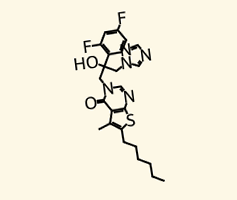 CCCCCCc1sc2ncn(CC(O)(Cn3cncn3)c3ccc(F)cc3F)c(=O)c2c1C